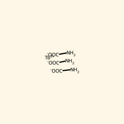 NC(=O)[O-].NC(=O)[O-].NC(=O)[O-].[Tb+3]